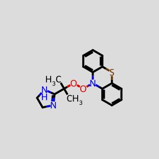 CC(C)(OON1c2ccccc2Sc2ccccc21)C1=NCCN1